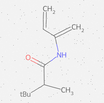 C=CC(=C)NC(=O)C(C)C(C)(C)C